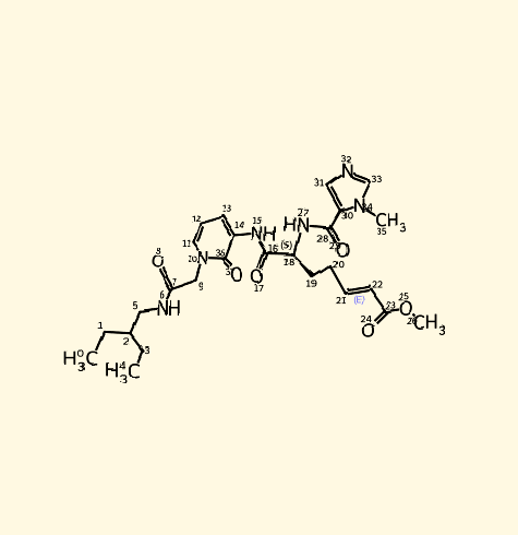 CCC(CC)CNC(=O)Cn1cccc(NC(=O)[C@H](CC/C=C/C(=O)OC)NC(=O)c2cncn2C)c1=O